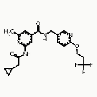 Cc1cc(C(=O)NCc2ccc(OCCC(F)(F)F)nc2)cc(NC(=O)CC2CC2)n1